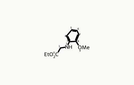 CCOC(=O)CNc1ccccc1OC